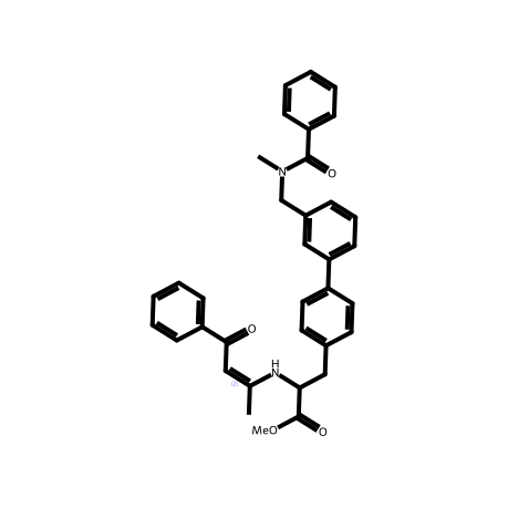 COC(=O)C(Cc1ccc(-c2cccc(CN(C)C(=O)c3ccccc3)c2)cc1)N/C(C)=C\C(=O)c1ccccc1